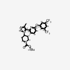 Cc1nnn(C2CCN(C(=O)OC(C)(C)C)CC2)c1-c1cccc(Oc2cc(C(F)(F)F)cc(C(F)(F)F)c2)n1